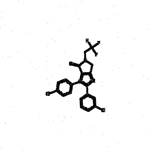 O=C1c2c(nc(-c3cccc(Cl)c3)n2-c2ccc(Cl)cc2)CN1CC(F)(F)F